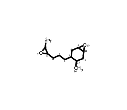 CCCC1OC1CCCC1CC2OC2CC1C